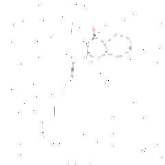 CCCCCCC/C=C/c1[nH]c2ccccc2c(=O)c1CC